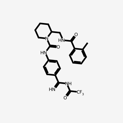 Cc1ccccc1C(=O)NCC1CCCCN1C(=O)Nc1ccc(C(=N)NC(=O)C(F)(F)F)cc1